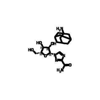 NC(=O)c1ncn([C@@H]2O[C@H](CO)[C@@H](O)[C@H]2O)n1.NC12CC3CC(CC(C3)C1)C2